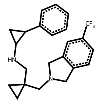 FC(F)(F)c1ccc2c(c1)CN(CC1(CNC3CC3c3ccccc3)CC1)C2